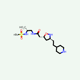 CCCCS(=O)(=O)N[C@@H](CNC(=O)C[C@H]1C[C@H](CCC2CCNCC2)NO1)C(=O)O